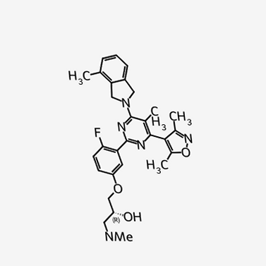 CNC[C@@H](O)COc1ccc(F)c(-c2nc(-c3c(C)noc3C)c(C)c(N3Cc4cccc(C)c4C3)n2)c1